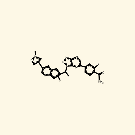 CC(c1cc2cc(-c3cnn(C)c3)cnc2cc1F)n1nnc2ncc(-c3ccc(C(N)=O)c(F)c3)nc21